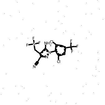 N#Cc1nn(-c2c(Cl)cc(C(F)(F)F)cc2Cl)c(N)c1CS(F)(F)F